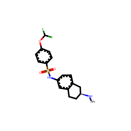 CCCN[C@H]1CCc2cc(NS(=O)(=O)c3ccc(OC(F)F)cc3)ccc2C1